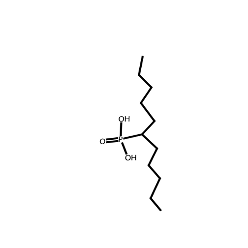 CCCCC[C](CCCCC)P(=O)(O)O